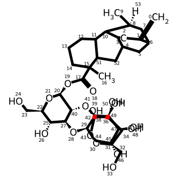 C=C1CC2C3CC1C[C@H](C)C2C1CCCC(C)(C(=O)O[C@@H]2O[C@H](CO)[C@@H](O)[C@H](O[C@@H]4O[C@H](CO)[C@@H](O)[C@H](O)[C@H]4O)[C@H]2O[C@@H]2OC[C@@H](O)[C@H](O)[C@H]2O)C1C3